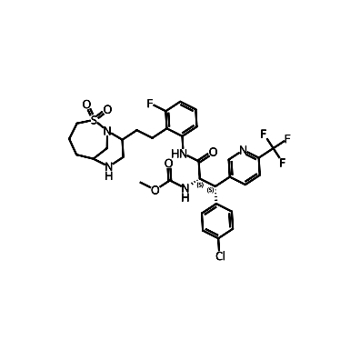 COC(=O)N[C@H](C(=O)Nc1cccc(F)c1CCC1CNC2CCCS(=O)(=O)N1C2)[C@@H](c1ccc(Cl)cc1)c1ccc(C(F)(F)F)nc1